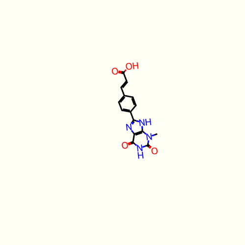 Cn1c(=O)[nH]c(=O)c2nc(-c3ccc(C=CC(=O)O)cc3)[nH]c21